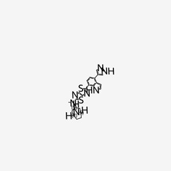 CN(c1nc2sc(-c3ccc(-c4cn[nH]c4)c4cc[nH]c34)nc2s1)[C@@H]1C[C@H]2CC[C@@H](C1)N2